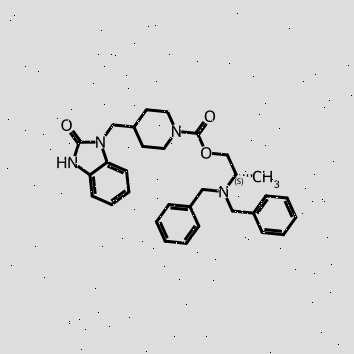 C[C@@H](COC(=O)N1CCC(Cn2c(=O)[nH]c3ccccc32)CC1)N(Cc1ccccc1)Cc1ccccc1